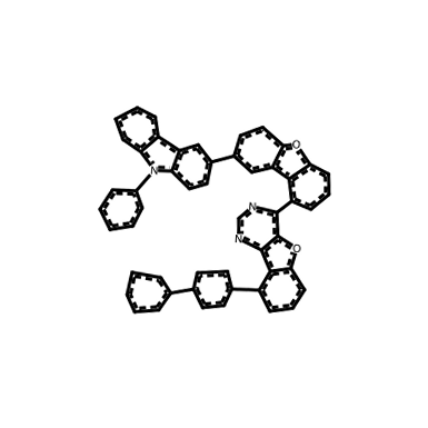 c1ccc(-c2ccc(-c3cccc4oc5c(-c6cccc7oc8ccc(-c9ccc%10c(c9)c9ccccc9n%10-c9ccccc9)cc8c67)ncnc5c34)cc2)cc1